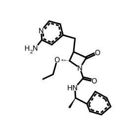 CCO[C@@H]1C(Cc2ccnc(N)c2)C(=O)N1C(=O)N[C@H](C)c1ccccc1